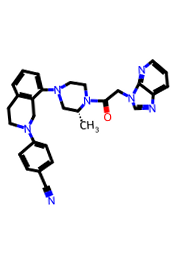 C[C@@H]1CN(c2cccc3c2CN(c2ccc(C#N)cc2)CC3)CCN1C(=O)Cn1cnc2cccnc21